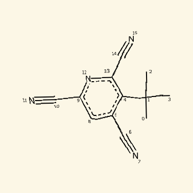 CC(C)(C)c1c(C#N)cc(C#N)nc1C#N